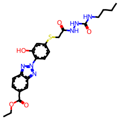 CCCCNC(=O)NNC(=O)CSc1ccc(-n2nc3ccc(C(=O)OCC)cc3n2)c(O)c1